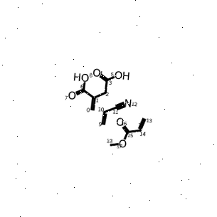 C=C(CC(=O)O)C(=O)O.C=CC#N.C=CC(=O)OC